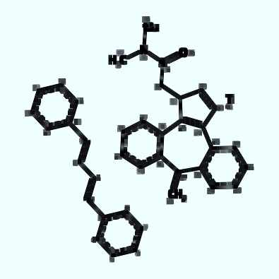 C(C=Cc1ccccc1)=Cc1ccccc1.C=C1c2ccccc2C2=C(c3ccccc31)C(C[Si](=O)N(C)C(C)(C)C)C=C2.[Ti]